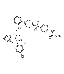 CC(=O)Nc1ccc(S(=O)(=O)N2CCN(c3ccccc3OC[C@@H]3CO[C@@](Cn4cncn4)(c4ccc(Cl)cc4Cl)O3)CC2)cc1